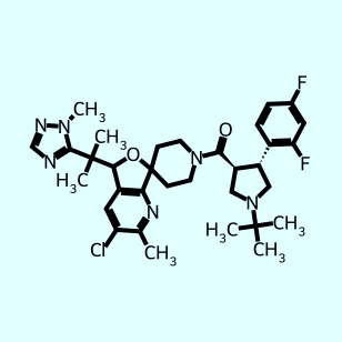 Cc1nc2c(cc1Cl)C(C(C)(C)c1ncnn1C)OC21CCN(C(=O)[C@@H]2CN(C(C)(C)C)C[C@H]2c2ccc(F)cc2F)CC1